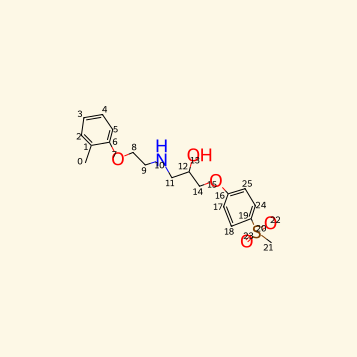 Cc1ccccc1OCCNCC(O)COc1ccc(S(C)(=O)=O)cc1